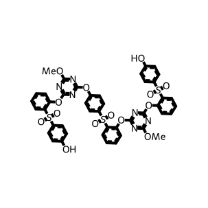 COc1nc(Oc2ccc(S(=O)(=O)c3ccccc3Oc3nc(OC)nc(Oc4ccccc4S(=O)(=O)c4ccc(O)cc4)n3)cc2)nc(Oc2ccccc2S(=O)(=O)c2ccc(O)cc2)n1